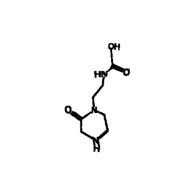 O=C(O)NCCN1CCNCC1=O